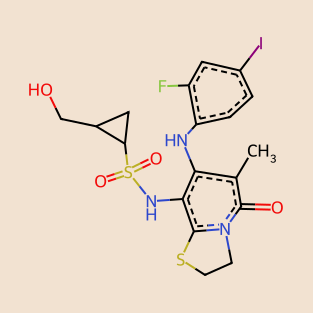 Cc1c(Nc2ccc(I)cc2F)c(NS(=O)(=O)C2CC2CO)c2n(c1=O)CCS2